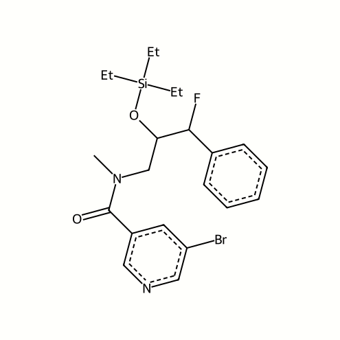 CC[Si](CC)(CC)OC(CN(C)C(=O)c1cncc(Br)c1)C(F)c1ccccc1